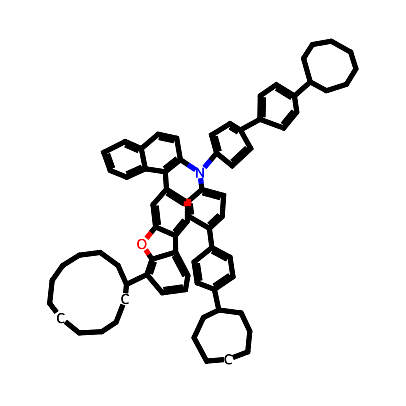 c1ccc2c(-c3ccc4c(c3)oc3c(C5CCCCCCCCCCC5)cccc34)c(N(c3ccc(-c4ccc(C5CCCCCCC5)cc4)cc3)c3ccc(-c4ccc(C5CCCCCCC5)cc4)cc3)ccc2c1